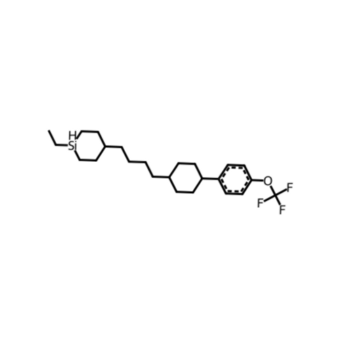 CC[SiH]1CCC(CCCCC2CCC(c3ccc(OC(F)(F)F)cc3)CC2)CC1